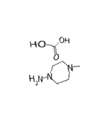 CN1CCN(N)CC1.O=C(O)O